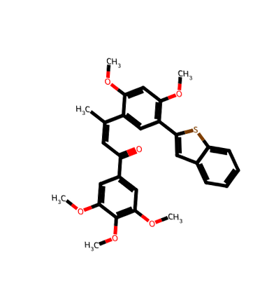 COc1cc(OC)c(-c2cc3ccccc3s2)cc1/C(C)=C\C(=O)c1cc(OC)c(OC)c(OC)c1